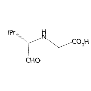 CC(C)[C@@H]([C]=O)NCC(=O)O